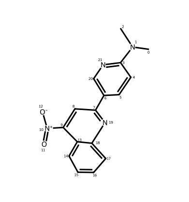 CN(C)c1ccc(-c2cc([N+](=O)[O-])c3ccccc3n2)cn1